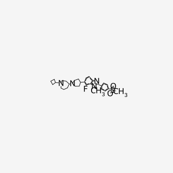 Cn1c(-c2ccc(S(C)(=O)=O)cc2)nc2ccc(C3CCN(C4CCCN(C5CCC5)CC4)CC3)c(F)c21